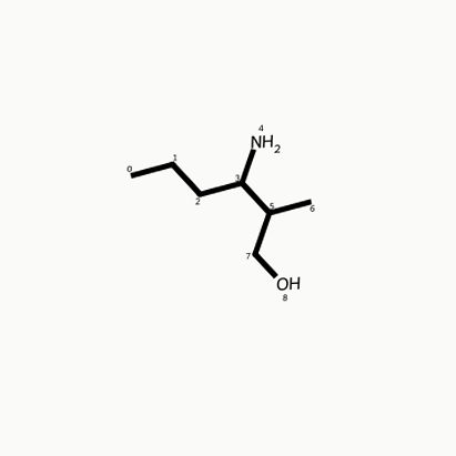 CCCC(N)C(C)CO